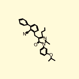 CCCc1nc(C)n(-c2cccc(OC(C)C)c2)c(=O)c1Cc1cccc(-c2ccccc2)c1C#N